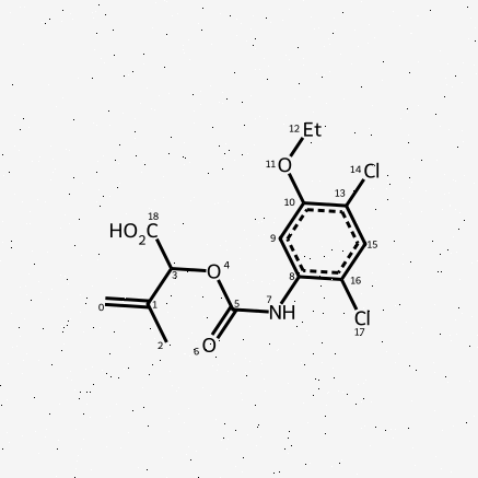 C=C(C)C(OC(=O)Nc1cc(OCC)c(Cl)cc1Cl)C(=O)O